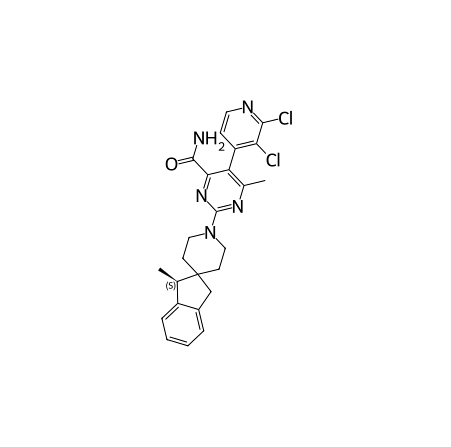 Cc1nc(N2CCC3(CC2)Cc2ccccc2[C@H]3C)nc(C(N)=O)c1-c1ccnc(Cl)c1Cl